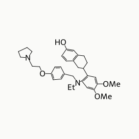 CCN(Cc1ccc(OCCN2CCCC2)cc1)c1cc(OC)c(OC)cc1C1CCc2cc(O)ccc2C1